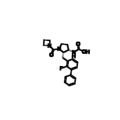 O=C(O)N[C@H]1CCN(C(=O)N2CCC2)[C@H]1Cc1cccc(-c2ccccc2)c1F